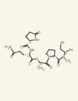 CC(=O)[C@H](CC(C)C)N(C)C(=O)[C@@H]1CCCN1C(=O)[C@H](C)OC(=O)[C@H](CCC(N)=O)NC(=O)[C@@H]1CCC(=O)N1